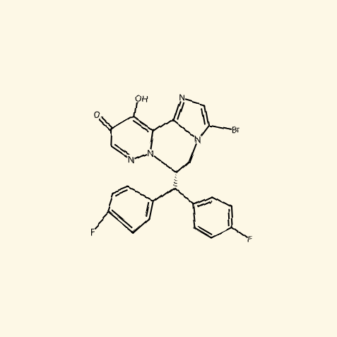 O=c1cnn2c(c1O)-c1ncc(Br)n1C[C@@H]2C(c1ccc(F)cc1)c1ccc(F)cc1